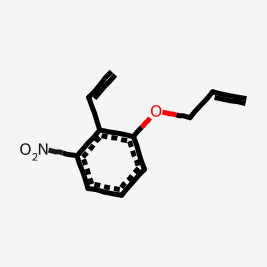 C=CCOc1cccc([N+](=O)[O-])c1C=C